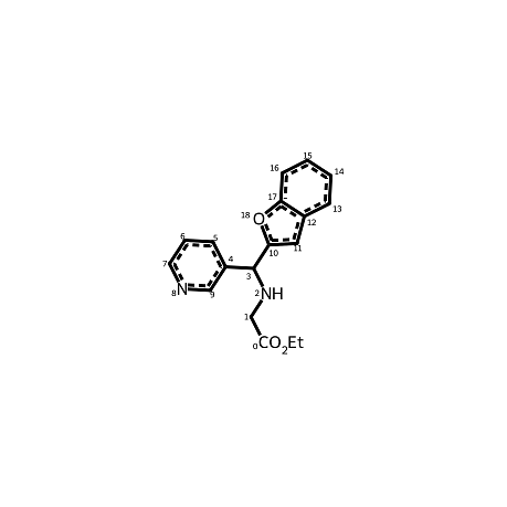 CCOC(=O)CNC(c1cccnc1)c1cc2ccccc2o1